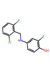 Oc1ccc(NCc2c(F)cccc2Cl)cc1F